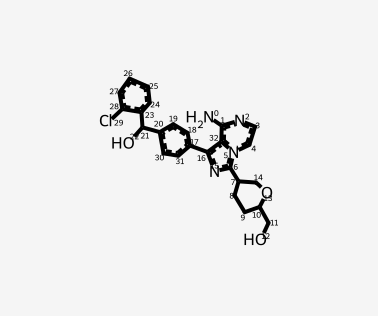 Nc1nccn2c(C3CCC(CO)OC3)nc(-c3ccc(C(O)c4ccccc4Cl)cc3)c12